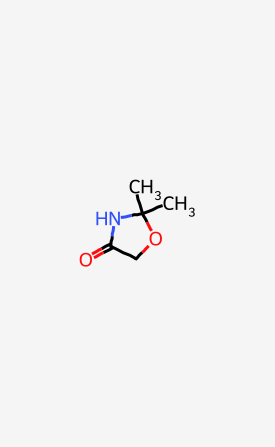 CC1(C)NC(=O)CO1